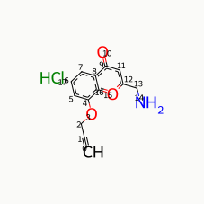 C#CCOc1cccc2c(=O)cc(CN)oc12.Cl